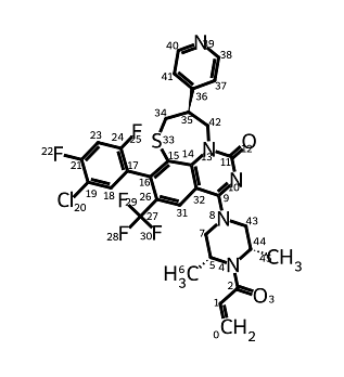 C=CC(=O)N1[C@H](C)CN(c2nc(=O)n3c4c(c(-c5cc(Cl)c(F)cc5F)c(C(F)(F)F)cc24)SC[C@@H](c2ccncc2)C3)C[C@@H]1C